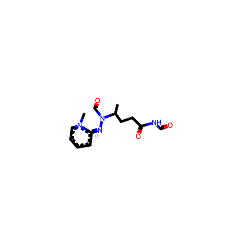 CC(CCC(=O)NC=O)N(C=O)/N=c1/ccccn1C